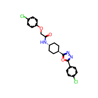 O=C(COc1ccc(Cl)cc1)N[C@H]1CC[C@H](c2nnc(-c3ccc(Cl)cc3)o2)CC1